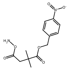 CC(C)(CC(=O)ON)C(=O)OCc1ccc([N+](=O)[O-])cc1